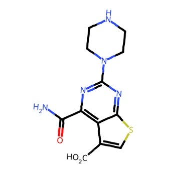 NC(=O)c1nc(N2CCNCC2)nc2scc(C(=O)O)c12